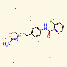 NC1=N[C@@H](CCc2ccc(NC(=O)c3ncccc3F)cc2)CO1